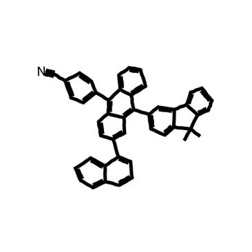 CC1(C)c2ccccc2-c2cc(-c3c4ccccc4c(-c4ccc(C#N)cc4)c4ccc(-c5cccc6ccccc56)cc34)ccc21